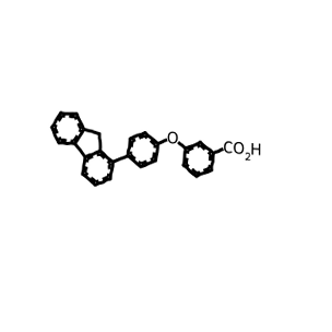 O=C(O)c1cccc(Oc2ccc(-c3cccc4c3Cc3ccccc3-4)cc2)c1